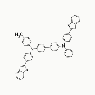 Cc1ccc(N(c2ccc(-c3ccc(N(c4ccccc4)c4ccc(-c5cc6ccccc6s5)cc4)cc3)cc2)c2ccc(-c3cc4ccccc4s3)cc2)cc1